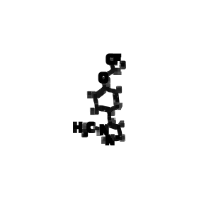 Cn1nccc1-c1ccc(OCC(F)(F)F)cc1